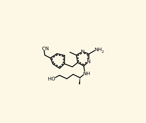 Cc1nc(N)nc(N[C@@H](C)CCCO)c1Cc1ccc(CC#N)cc1